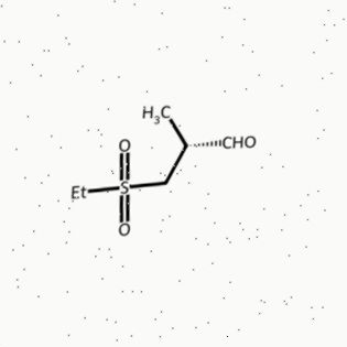 CCS(=O)(=O)C[C@H](C)C=O